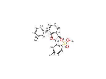 COS(=O)(=O)c1ccc(C)cc1C1Cc2cccc(-c3cccc(C)c3)c2O1